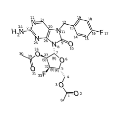 CC(=O)OC[C@H]1O[C@@H](n2c(=O)n(Cc3ccc(F)cc3)c3cnc(N)nc32)[C@H](OC(C)=O)[C@@H]1F